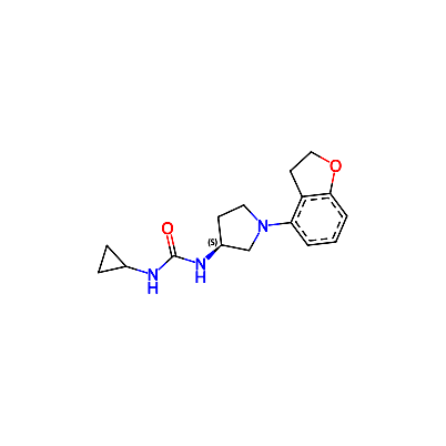 O=C(NC1CC1)N[C@H]1CCN(c2cccc3c2CCO3)C1